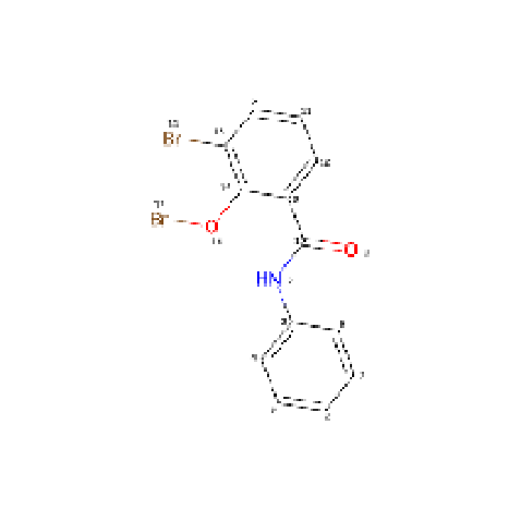 O=C(Nc1ccccc1)c1cccc(Br)c1OBr